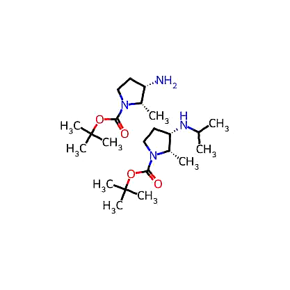 CC(C)N[C@H]1CCN(C(=O)OC(C)(C)C)[C@H]1C.C[C@H]1[C@@H](N)CCN1C(=O)OC(C)(C)C